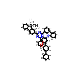 CC1(C)c2ccccc2-c2ccc(-c3nc(-c4ccccc4)nc(-c4cccc5c6ccccc6n(-c6ccc7oc8cc(C9=CC=CCC9)ccc8c7c6)c45)n3)cc21